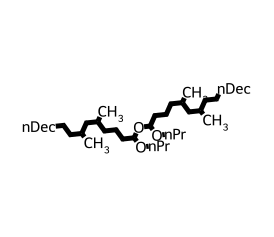 CCCCCCCCCCCCC(C)CC(C)CCCC(OCCC)OC(CCCC(C)CC(C)CCCCCCCCCCCC)OCCC